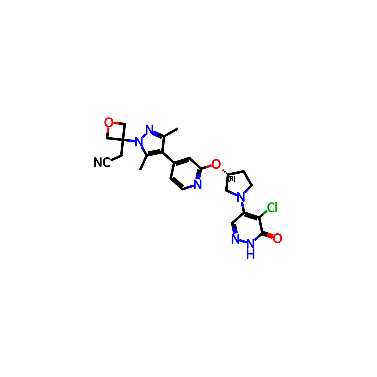 Cc1nn(C2(CC#N)COC2)c(C)c1-c1ccnc(O[C@@H]2CCN(c3cn[nH]c(=O)c3Cl)C2)c1